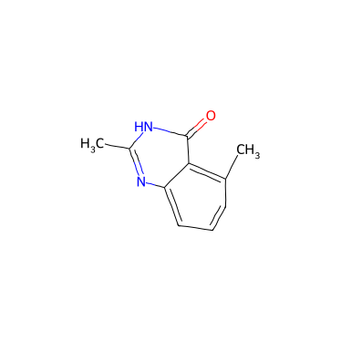 Cc1nc2cccc(C)c2c(=O)[nH]1